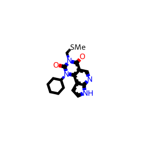 CSCn1c(=O)c2cnc3[nH]ccc3c2n(C2CCCCC2)c1=O